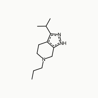 CCCN1CCc2c(C(C)C)n[nH]c2C1